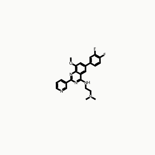 COc1cc(-c2ccc(F)c(F)c2)cc2c(NCCN(C)C)nc(-c3cccnc3)nc12